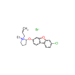 C=CC[N+]1(CC)CCCC1Oc1ccc2c(c1)oc1cc(Cl)ccc12.[Br-]